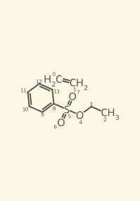 C=C.CCOS(=O)(=O)c1ccccc1